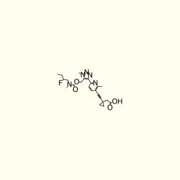 CCC(F)CN(C)C(=O)OCc1c(-c2ccc(C#CC3(CC(=O)O)CC3)c(C)n2)nnn1C